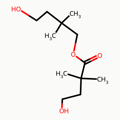 CC(C)(CCO)COC(=O)C(C)(C)CCO